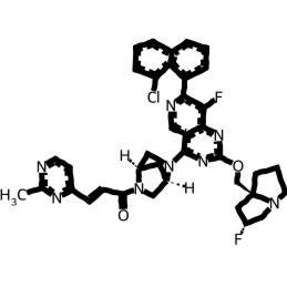 Cc1nccc(/C=C/C(=O)N2C[C@H]3C[C@@H]2CN3c2nc(OC[C@@]34CCCN3C[C@H](F)C4)nc3c(F)c(-c4cccc5cccc(Cl)c45)ncc23)n1